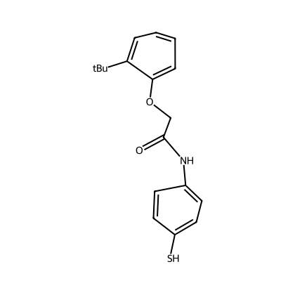 CC(C)(C)c1ccccc1OCC(=O)Nc1ccc(S)cc1